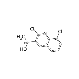 C[C@@H](O)c1cc2cccc(Cl)c2nc1Cl